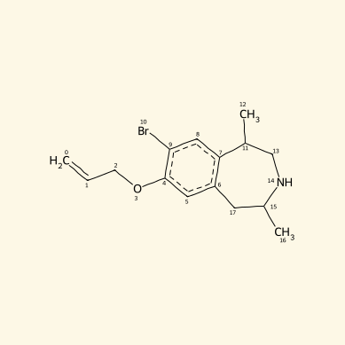 C=CCOc1cc2c(cc1Br)C(C)CNC(C)C2